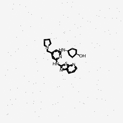 O[C@H]1CC[C@H](Nc2cc(CN3CCCC3)cc(Nc3nc4cccnc4s3)n2)CC1